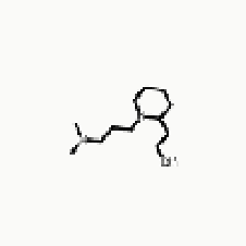 CN(C)CCCN1CCCCC1CCO